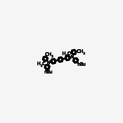 CCCCc1ccc(N(c2ccc(-c3ccc(-c4ccc(N(c5ccc(CCCC)cc5)c5cc(C)ccc5C)cc4)cc3)cc2)c2cc(C)ccc2C)cc1